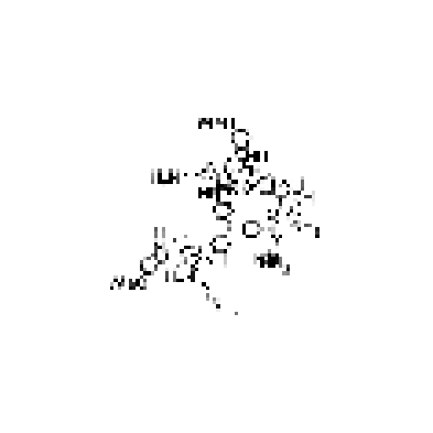 COc1ccc2[nH]c(C)c(CC(=O)[C@](N)(CCCCN)C(=O)Nc3ccc(C(c4ccc(NC(=O)[C@@](N)(CCCCN)C(=O)Cc5c(C)[nH]c6ccc(OC)cc56)cc4)c4ccc(NC(=O)[C@@](N)(CCCCN)C(=O)Cc5c(C)[nH]c6ccc(OC)cc56)cc4)cc3)c2c1.Cl